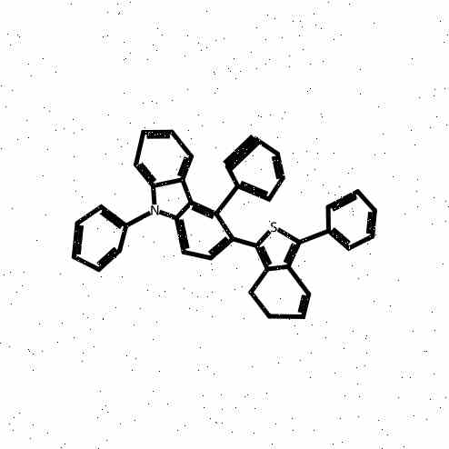 c1cccc(-c2c(-c3sc(-c4ccccc4)c4c3CCC=C4)ccc3c2c2ccccc2n3-c2ccccc2)c#1